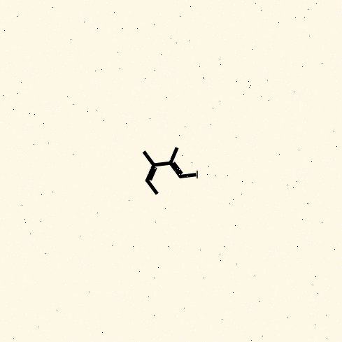 CC=C(C)C(C)=CI